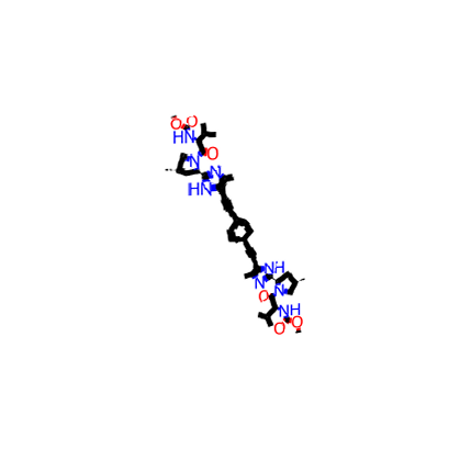 COC(=O)N[C@H](C(=O)N1C[C@@H](C)C[C@H]1c1nc(C)c(C#Cc2ccc(C#Cc3[nH]c([C@@H]4C[C@H](C)CN4C(=O)[C@@H](NC(=O)OC)C(C)C)nc3C)cc2)[nH]1)C(C)C